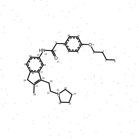 CCCCOc1ccc(CC(=O)Nc2ccc3c(c2)C(CCN2CCCC2)=C(C)C3)cc1